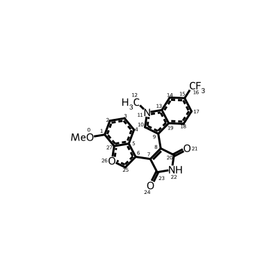 COc1cccc2c(C3=C(c4cn(C)c5cc(C(F)(F)F)ccc45)C(=O)NC3=O)coc12